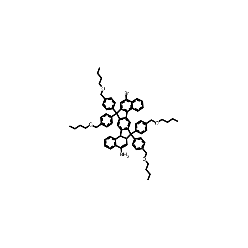 BC1=CC2C(c3ccccc31)c1cc3c(cc1C2(c1ccc(COCCCC)cc1)c1ccc(COCCCC)cc1)-c1c(cc(Br)c2ccccc12)C3(c1ccc(COCCCC)cc1)c1ccc(COCCCC)cc1